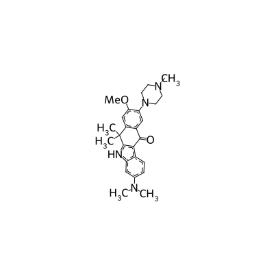 COc1cc2c(cc1N1CCN(C)CC1)C(=O)c1c([nH]c3cc(N(C)C)ccc13)C2(C)C